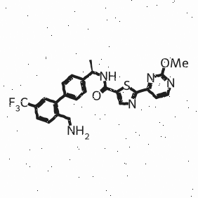 COc1nccc(-c2ncc(C(=O)N[C@H](C)c3ccc(-c4cc(C(F)(F)F)ccc4CN)cc3)s2)n1